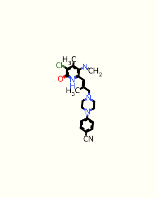 C=Nc1c(/C=C(\C)CN2CCN(c3ccc(C#N)cc3)CC2)[nH]c(=O)c(Cl)c1C